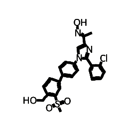 CC(=NO)c1cn(-c2ccc(-c3ccc(CO)c(S(C)(=O)=O)c3)cc2)c(-c2ccccc2Cl)n1